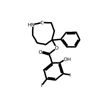 O=C(OC1(c2ccccc2)CCCNCCC1)c1cc(I)cc(I)c1O